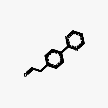 O=CCc1ccc(-c2ncccn2)cc1